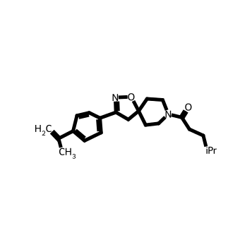 C=C(C)c1ccc(C2=NOC3(CCN(C(=O)CCC(C)C)CC3)C2)cc1